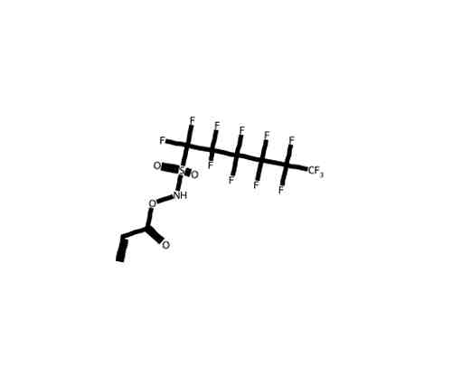 C=CC(=O)ONS(=O)(=O)C(F)(F)C(F)(F)C(F)(F)C(F)(F)C(F)(F)C(F)(F)F